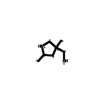 CC1CC(C)(CO)CN1